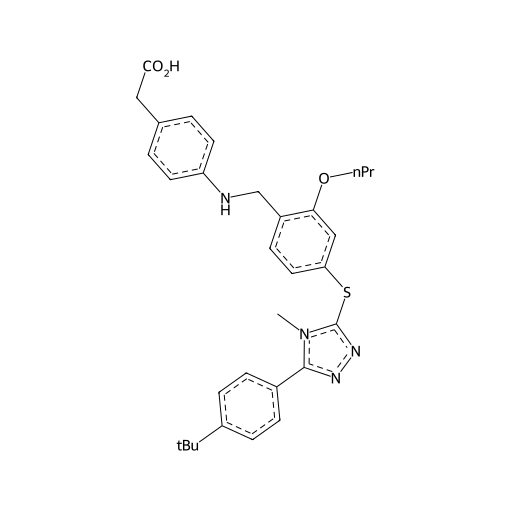 CCCOc1cc(Sc2nnc(-c3ccc(C(C)(C)C)cc3)n2C)ccc1CNc1ccc(CC(=O)O)cc1